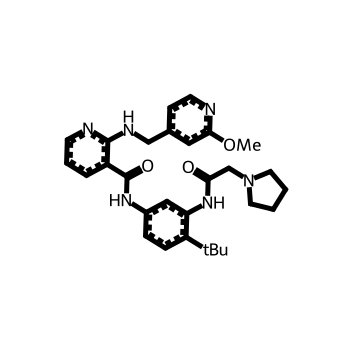 COc1cc(CNc2ncccc2C(=O)Nc2ccc(C(C)(C)C)c(NC(=O)CN3CCCC3)c2)ccn1